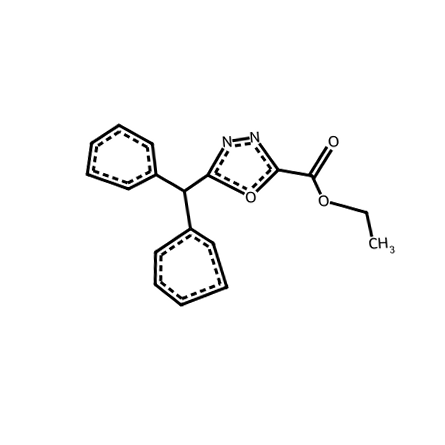 CCOC(=O)c1nnc(C(c2ccccc2)c2ccccc2)o1